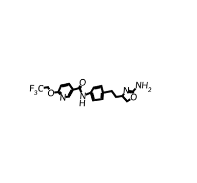 NC1=NC(CCc2ccc(NC(=O)c3ccc(OCC(F)(F)F)nc3)cc2)CO1